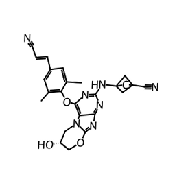 Cc1cc(/C=C/C#N)cc(C)c1Oc1nc(NC23CC(C#N)(C2)C3)nc2nc3n(c12)C[C@@H](O)CO3